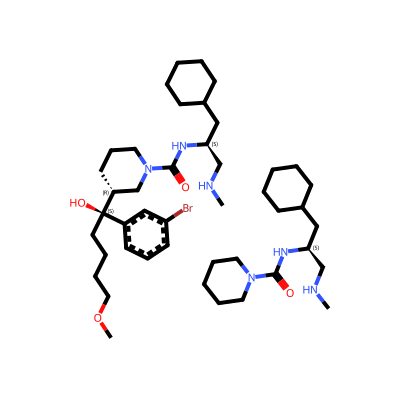 CNC[C@H](CC1CCCCC1)NC(=O)N1CCCCC1.CNC[C@H](CC1CCCCC1)NC(=O)N1CCC[C@@H]([C@@](O)(CCCCOC)c2cccc(Br)c2)C1